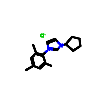 Cc1cc(C)c(-[n+]2ccn(C3CCCC3)c2)c(C)c1.[Cl-]